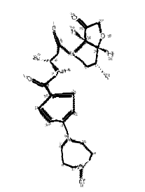 CC[C@@H]1CN(C(=O)[C@@H](NC(=O)c2ccc(N3CCN(CC)CC3)cc2)[C@@H](C)CC)[C@@H]2C(=O)CO[C@H]12